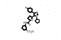 CCOC(=O)c1cccc(NC(=O)c2ccc(-c3c(-c4ccc(F)cc4)ncn3C3CCCC3)o2)c1